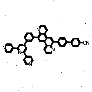 N#Cc1ccc(-c2ccc(-c3cc4c5cccnc5c(-c5cccc(-c6cc(-c7ccncc7)nc(-c7ccncc7)c6)c5)cc4c4cccnc34)cc2)cc1